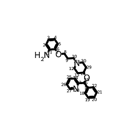 Nc1ccccc1OCCCN1CCC(OC(c2ccccc2)c2ccccn2)CC1